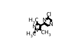 Cc1nn(C)c(C)c1-c1cncc(Cl)n1